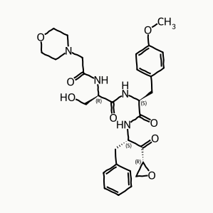 COc1ccc(C[C@H](NC(=O)[C@@H](CO)NC(=O)CN2CCOCC2)C(=O)N[C@@H](Cc2ccccc2)C(=O)[C@H]2CO2)cc1